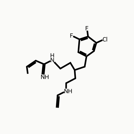 C=CNCCC(CCNC(=N)/C=C\C)Cc1cc(F)c(F)c(Cl)c1